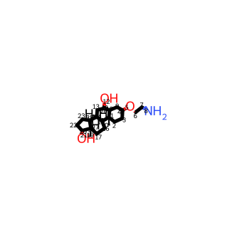 C[C@]12CCC(OCCN)CC1C(O)C[C@@H]1[C@H]2CC[C@]2(C)C(O)CC[C@@H]12